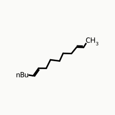 C/C=C/CCCCC/C=C/CCCC